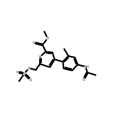 COC(=O)c1cc(-c2ccc(NC(C)=O)cc2C)cc(COS(C)(=O)=O)n1